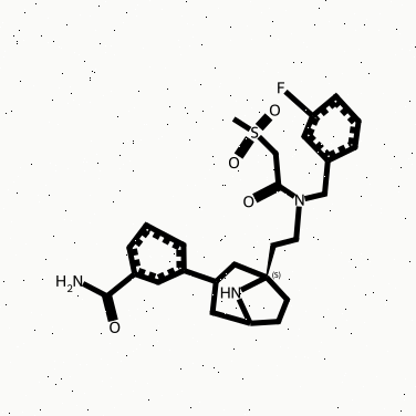 CS(=O)(=O)CC(=O)N(CC[C@]12CCC(CC(c3cccc(C(N)=O)c3)C1)N2)Cc1cccc(F)c1